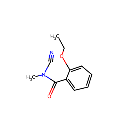 CCOc1ccccc1C(=O)N(C)C#N